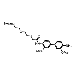 COc1cc(-c2ccc(NC(=O)COCCOCCN=[N+]=[N-])c(OC)c2)ccc1N